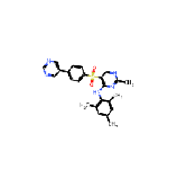 Cc1cc(C)c(Nc2nc(C)ncc2S(=O)(=O)c2ccc(-c3cncnc3)cc2)c(C)c1